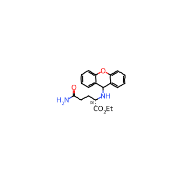 CCOC(=O)[C@H](CCC(N)=O)NC1c2ccccc2Oc2ccccc21